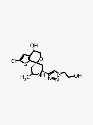 C[C@H]1C[C@@]2(C[C@@H](c3cn(CCO)nn3)N1)OC[C@@H](O)c1cc(Cl)sc12